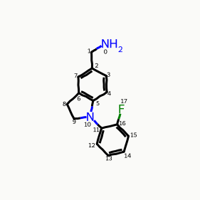 NCc1ccc2c(c1)CCN2c1ccccc1F